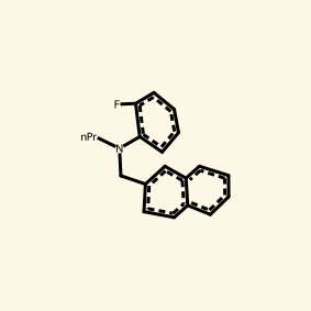 CCCN(Cc1ccc2ccccc2c1)c1ccccc1F